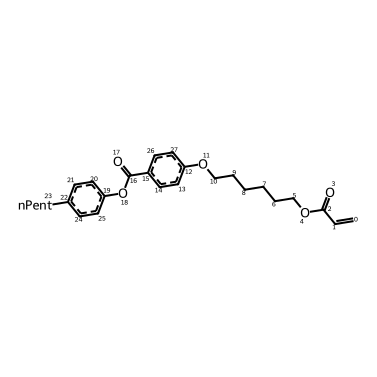 C=CC(=O)OCCCCCCOc1ccc(C(=O)Oc2ccc(CCCCC)cc2)cc1